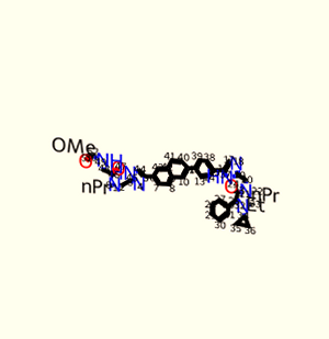 CCCN(Cc1nc(-c2ccc3cc(-c4ccc(-c5cnc(CN(CCC)C(=O)C(c6ccccc6)N(CC)C6CC6)[nH]5)cc4)ccc3c2)c[nH]1)C(=O)CNC(=O)OC